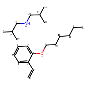 C=Cc1ccccc1OCCCCCC.CC(C)CNCC(C)C